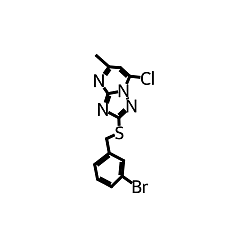 Cc1cc(Cl)n2nc(SCc3cccc(Br)c3)nc2n1